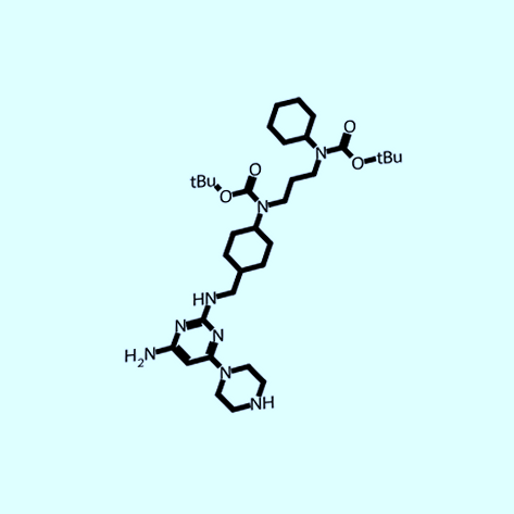 CC(C)(C)OC(=O)N(CCCN(C(=O)OC(C)(C)C)C1CCC(CNc2nc(N)cc(N3CCNCC3)n2)CC1)C1CCCCC1